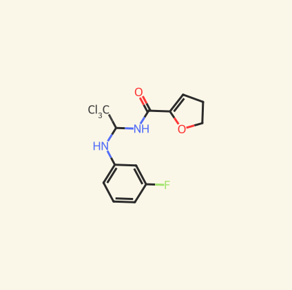 O=C(NC(Nc1cccc(F)c1)C(Cl)(Cl)Cl)C1=CCCO1